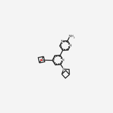 Nc1ncc(-c2cc(N3CC4CC3C4)cc(N3CC4CC3C4)n2)cn1